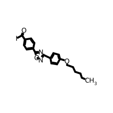 CCCCCCOc1ccc(-c2noc(-c3ccc(C(=O)I)cc3)n2)cc1